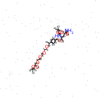 CC(COCCOCCOCCOCC(=O)OC(C)(C)C)c1ccc(COC(C)C(CCC(N)=O)NC(=O)OC(C)(C)C)cc1